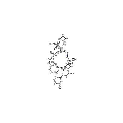 CCCCc1cc(Cl)ccc1[C@@H]1CCc2ccc3cc2N(C1)C[C@@H]1CC[C@H]1[C@@H](O)/C=C/C[C@H]([C@@H](CC1CCC1)S(N)(=O)=O)CC3=O